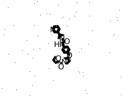 O=C(Nc1ccc(O[C@H]2CCN(C(=O)[C@@H]3CCCO3)C2)cc1)N1CC(c2cccnc2)C1